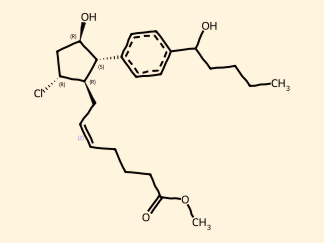 CCCCC(O)c1ccc([C@@H]2[C@@H](C/C=C\CCCC(=O)OC)[C@H](Cl)C[C@H]2O)cc1